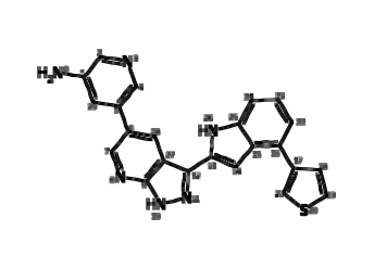 Nc1cncc(-c2cnc3[nH]nc(-c4cc5c(-c6ccsc6)cccc5[nH]4)c3c2)c1